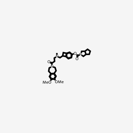 COc1cc2c(cc1OC)CCN(C(=O)CCN(C)CC1Cc3cc(OC(=O)N4CC5CCCC5C4)ccc31)CC2